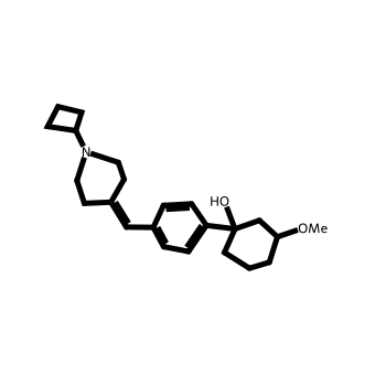 COC1CCCC(O)(c2ccc(C=C3CCN(C4CCC4)CC3)cc2)C1